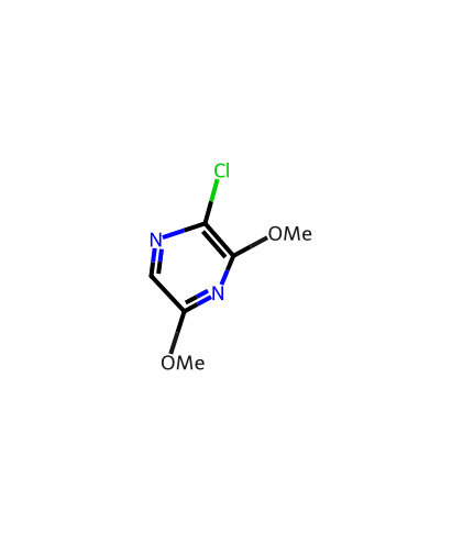 COc1cnc(Cl)c(OC)n1